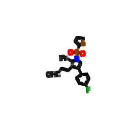 CC(C)c1c(/C=C/C=O)c(-c2ccc(F)cc2)cn1S(=O)(=O)c1cccs1